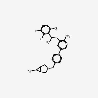 CC(Oc1cc(-c2ccc(CN3CC4C(N)C4C3)cc2)cnc1N)c1c(Cl)ccc(F)c1Cl